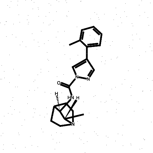 Cc1ccccc1-c1cnn(C(=O)N[C@@H]2C3CCN(CC3)[C@H]2C)c1